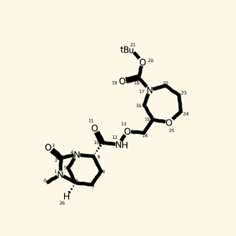 CN1C(=O)N2C[C@H]1CC[C@H]2C(=O)NOCC1CN(C(=O)OC(C)(C)C)CCCO1